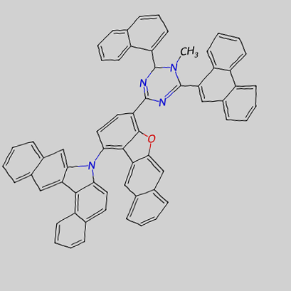 CN1C(c2cc3ccccc3c3ccccc23)=NC(c2ccc(-n3c4cc5ccccc5cc4c4c5ccccc5ccc43)c3c2oc2cc4ccccc4cc23)=NC1c1cccc2ccccc12